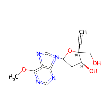 C#C[C@]1(CO)OC(n2cnc3c(OC)ncnc32)C[C@@H]1O